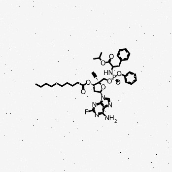 C#C[C@]1(CO[P@@](=O)(NC(Cc2ccccc2)C(=O)OC(C)C)Oc2ccccc2)O[C@@H](n2cnc3c(N)nc(F)nc32)C[C@@H]1OC(=O)CCCCCCCCC